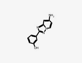 Nc1ccn2nc(-c3cccc(O)c3)nc2c1